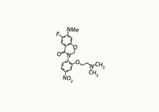 CNc1cc2c(cc1F)C(=O)N(c1ccc([N+](=O)[O-])cc1OCCN(C)C)CO2